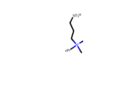 [CH2]CC[N+](C)(C)CCCS(=O)(=O)O